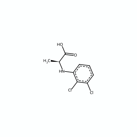 C[C@H](Nc1cccc(Cl)c1Cl)C(=O)O